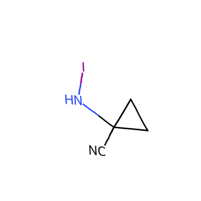 N#CC1(NI)CC1